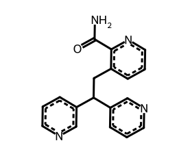 NC(=O)c1ncccc1CC(c1cccnc1)c1cccnc1